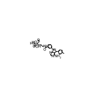 Cc1ccc(-c2nn(-c3cccc(C(=O)NCCCC(O)(P=O)P(=O)(O)O)c3)c3ncnc(N)c23)cc1